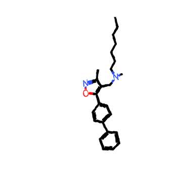 CCCCCCCN(C)Cc1c(C)noc1-c1ccc(-c2ccccc2)cc1